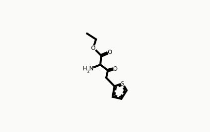 CCOC(=O)C(N)C(=O)Cc1cccs1